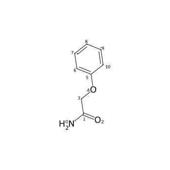 NC(=O)COc1c[c]c[c]c1